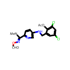 CN/C(=N\OC=O)c1ccc(NCc2cc(Cl)cc(Cl)c2OC(C)=O)cn1